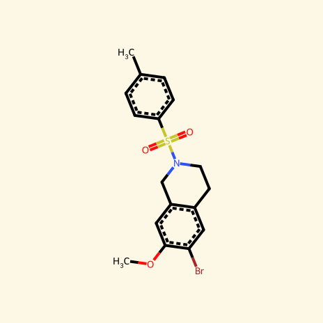 COc1cc2c(cc1Br)CCN(S(=O)(=O)c1ccc(C)cc1)C2